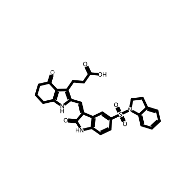 O=C(O)CCc1c(/C=C2\C(=O)Nc3ccc(S(=O)(=O)N4CCc5ccccc54)cc32)[nH]c2c1C(=O)CCC2